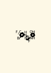 Oc1cccc(Nc2nc(Nc3cc(Br)cc(C(F)(F)F)c3)ncc2F)c1